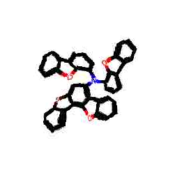 c1ccc2c(c1)oc1c(N(c3cccc4c3oc3ccccc34)c3cc4sc5ccccc5c4c4oc5ccccc5c34)cccc12